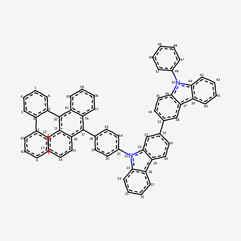 c1ccc(-c2ccccc2-c2c3ccccc3c(-c3ccc(-n4c5ccccc5c5ccc(-c6ccc7c(c6)c6ccccc6n7-c6ccccc6)cc54)cc3)c3ccccc23)cc1